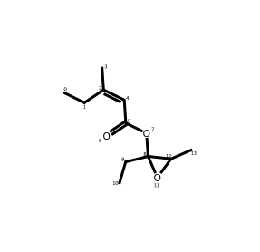 CCC(C)=CC(=O)OC1(CC)OC1C